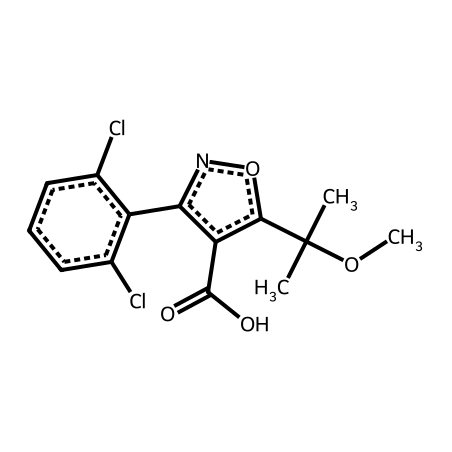 COC(C)(C)c1onc(-c2c(Cl)cccc2Cl)c1C(=O)O